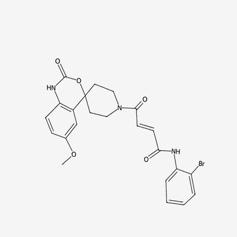 COc1ccc2c(c1)C1(CCN(C(=O)C=CC(=O)Nc3ccccc3Br)CC1)OC(=O)N2